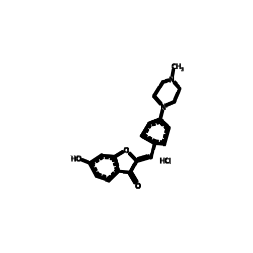 CN1CCN(c2ccc(/C=C3\Oc4cc(O)ccc4C3=O)cc2)CC1.Cl